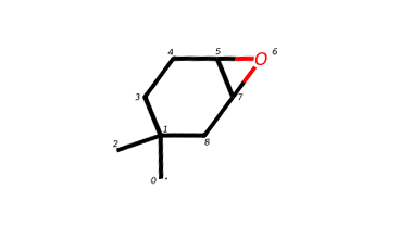 [CH2]C1(C)CCC2OC2C1